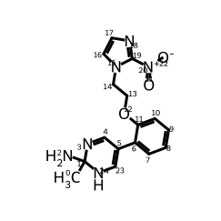 CC1(N)N=CC(c2ccccc2OCCn2ccnc2[N+](=O)[O-])=CN1